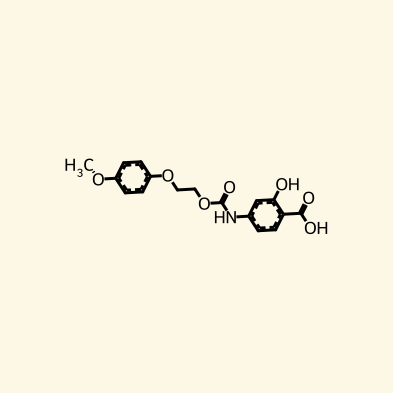 COc1ccc(OCCOC(=O)Nc2ccc(C(=O)O)c(O)c2)cc1